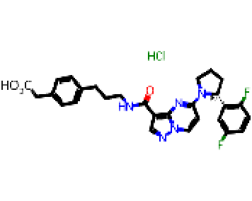 Cl.O=C(O)Cc1ccc(CCCNC(=O)c2cnn3ccc(N4CCC[C@@H]4c4cc(F)ccc4F)nc23)cc1